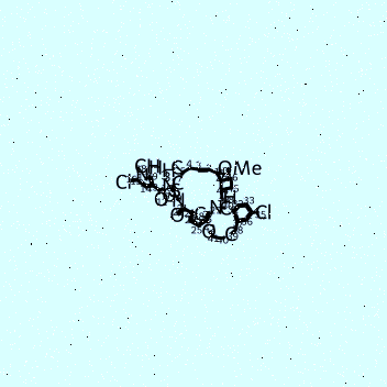 CO[C@H]1/C=C/C[C@H](C)C[S@@](=O)(NC(=O)c2cc(Cl)n(C)c2)=NC(=O)c2ccc3c(c2)N(Cc2ccc(Cl)cc2CCCCO3)C[C@@H]2CC[C@H]21